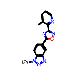 Cc1cccnc1-c1noc(-c2ccc3c(c2)nnn3C(C)C)n1